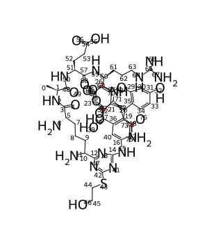 C[C@H](NC(=O)[C@@H](N)CCCC(N)c1nc(Nc2ccc(-c3c4ccc(=O)cc-4oc4cc(O)ccc34)c(C(=O)O)c2)nc(SCCO)n1)C(=O)N[C@@H](CCC(=O)O)C(=O)N[C@@H](CCCNC(=N)N)C(=O)N[C@@H](CCC(N)=O)C(=O)O